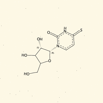 O=c1[nH]c(=S)ccn1[C@@H]1OC(CO)C(O)[C@@H]1O